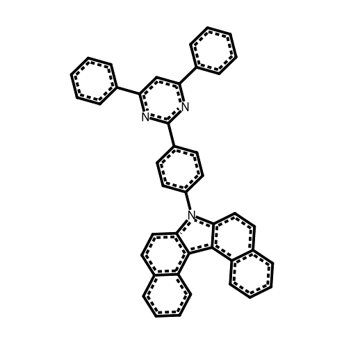 c1ccc(-c2cc(-c3ccccc3)nc(-c3ccc(-n4c5ccc6ccccc6c5c5c6ccccc6ccc54)cc3)n2)cc1